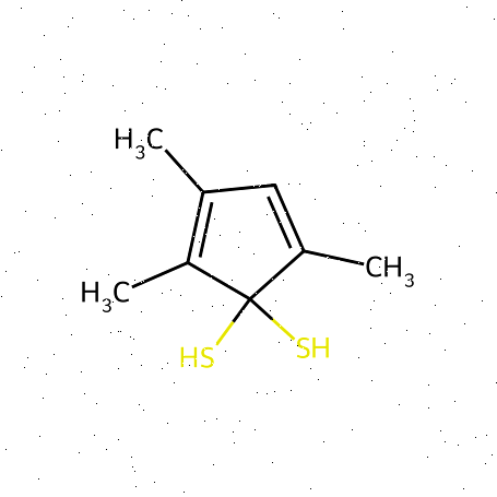 CC1=CC(C)=C(C)C1(S)S